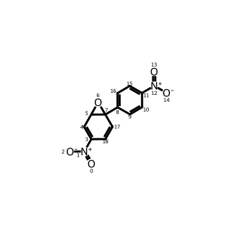 O=[N+]([O-])C1=CC2OC2(c2ccc([N+](=O)[O-])cc2)C=C1